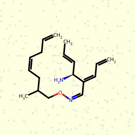 C=C/C=C(/C=N\OCC(C)C/C=C\CC=C)[C@@H](N)/C=C/C